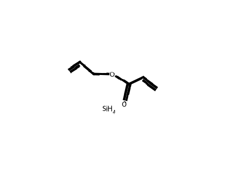 C=CCOC(=O)C=C.[SiH4]